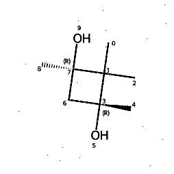 CC1(C)[C@](C)(O)C[C@@]1(C)O